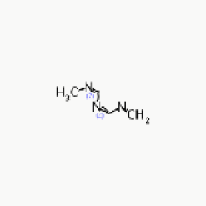 C=N/C=N\C=N/C